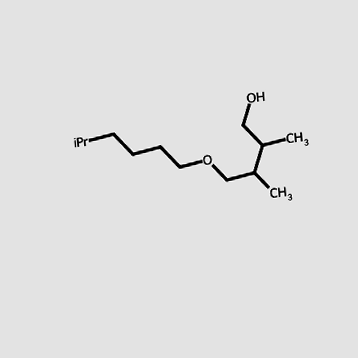 CC(C)CCCCOCC(C)C(C)CO